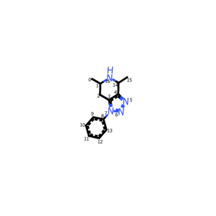 CC1Cc2c(nnn2-c2ccccc2)C(C)N1